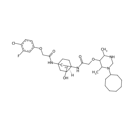 CC1NCN(C2CCCCCCC2)C(C)C1OCC(=O)NC12CCC(NC(=O)COc3ccc(Cl)c(F)c3)(CC1)C[C@@H]2O